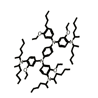 CCCCc1ccc(N(c2ccc(N(c3ccc(N(C(C)CCCC)C(C)CCCC)c(OCC)c3)c3ccc(N(C(C)CCCC)C(C)CCCC)c(OCC)c3)cc2)c2ccc(N(C(C)CCCC)C(C)CCCC)c(OCC)c2)cc1OCC